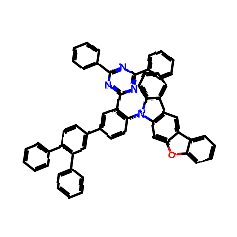 c1ccc(-c2nc(-c3ccccc3)nc(-c3cc(-c4ccc(-c5ccccc5)c(-c5ccccc5)c4)ccc3-n3c4ccccc4c4cc5c(cc43)oc3ccccc35)n2)cc1